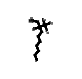 CCCCCCCC(F)(CO)C(F)(F)F